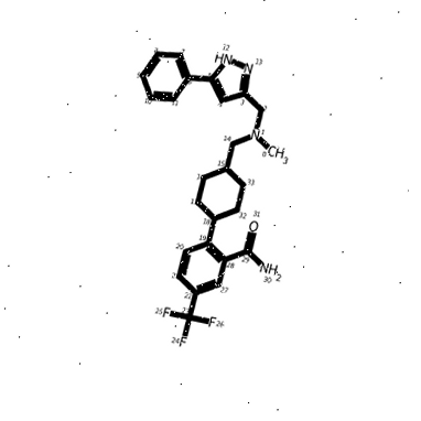 CN(Cc1cc(-c2ccccc2)[nH]n1)CC1CCC(c2ccc(C(F)(F)F)cc2C(N)=O)CC1